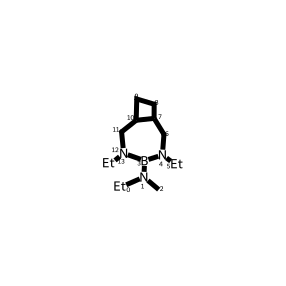 CCN(C)B1N(CC)CC2CCC2CN1CC